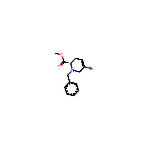 COC(=O)[C@H]1CC=C(Br)CN1Cc1ccccc1